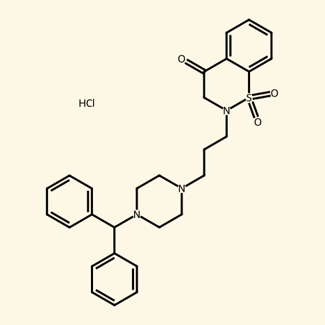 Cl.O=C1CN(CCCN2CCN(C(c3ccccc3)c3ccccc3)CC2)S(=O)(=O)c2ccccc21